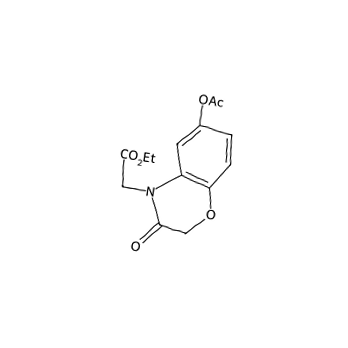 CCOC(=O)CN1C(=O)COc2ccc(OC(C)=O)cc21